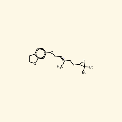 CCC1(CC)OC1CC/C(C)=C/COc1ccc2c(c1)OCC2